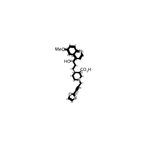 COc1ccc2nccc([C@@H](O)CC[C@@H]3CCN(CC#Cc4ncco4)C[C@@H]3C(=O)O)c2c1